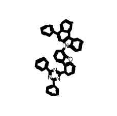 C1=Cc2oc3c(-n4c5ccccc5c5c6ccccc6c(-c6ccccc6)cc54)cccc3c2C(c2nc(-c3ccccc3)nc(-c3ccccc3)n2)C1